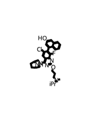 CC(C)N(C)CCCOc1nc(N2CC3CCC(C2)N3)c2cc(Cl)c(-c3cc(O)cc4ccccc34)c(F)c2n1